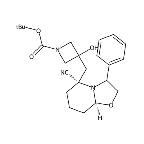 CC(C)(C)OC(=O)N1CC(O)(C[C@]2(C#N)CCC[C@@H]3OCC(c4ccccc4)N32)C1